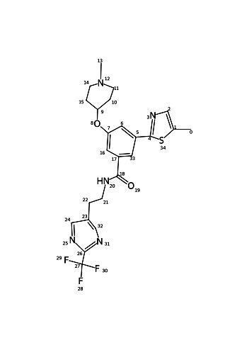 Cc1cnc(-c2cc(OC3CCN(C)CC3)cc(C(=O)NCCc3cnc(C(F)(F)F)nc3)c2)s1